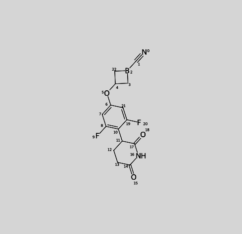 N#CB1CC(Oc2cc(F)c(C3CCC(=O)NC3=O)c(F)c2)C1